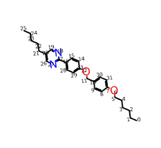 CCCCCCOc1ccc(COc2ccc(-c3ncc(CCCCC)cn3)cc2)cc1